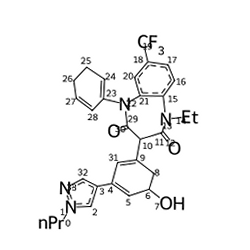 CCCn1cc(C2=CC(O)CC(C3C(=O)N(CC)c4ccc(C(F)(F)F)cc4N(C4=CCCC=C4)C3=O)=C2)cn1